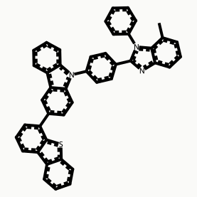 Cc1cccc2nc(-c3ccc(-n4c5ccccc5c5cc(-c6cccc7c6sc6ccccc67)ccc54)cc3)n(-c3ccccc3)c12